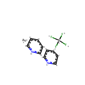 F[B-](F)(F)F.[Au+].c1ccncc1.c1ccncc1